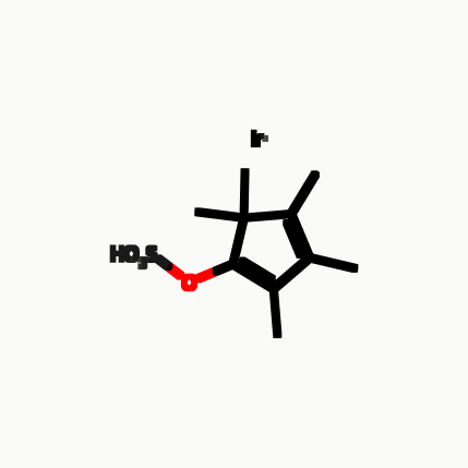 CC1=C(C)C(C)(C)C(OS(=O)(=O)O)=C1C.[Ir]